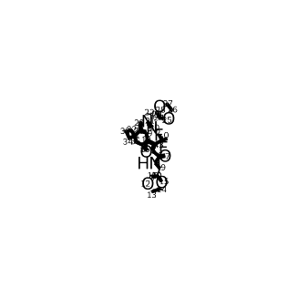 CC(F)(F)c1c(C(=O)NC[C@@H]2COCCO2)oc2c1-c1nn(C[C@H]3COCCO3)cc1C1(CCC1)C2